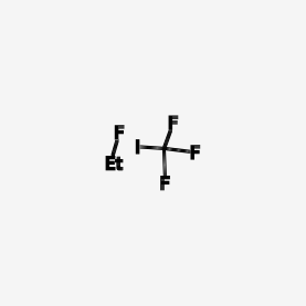 CCF.FC(F)(F)I